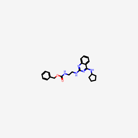 O=C(NCCNc1nc(NC2CCCC2)c2ccccc2n1)OCc1ccccc1